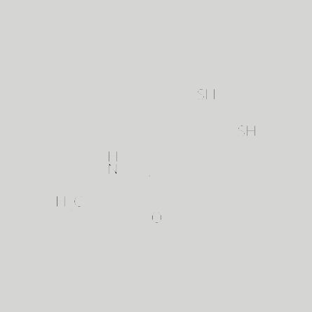 CNC(=O)C(CS)CS